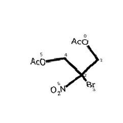 CC(=O)OCC(Br)(COC(C)=O)[N+](=O)[O-]